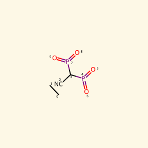 CC.N#CC(P(=O)=O)P(=O)=O